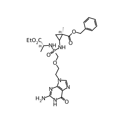 CCOC(=O)[C@@H](C)NP(=O)(COCCn1cnc2c(=O)[nH]c(N)nc21)NC1C[C@@]1(C)C(=O)OCc1ccccc1